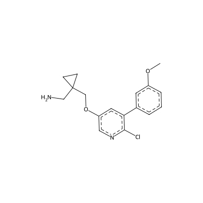 COc1cccc(-c2cc(OCC3(CN)CC3)cnc2Cl)c1